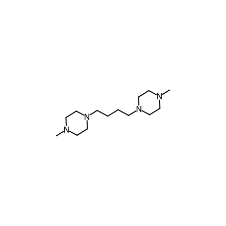 CN1CCN(CCCCN2CCN(C)CC2)CC1